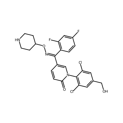 O=c1ccc(C(=NOC2CCNCC2)c2ccc(F)cc2F)cn1-c1c(Cl)cc(CO)cc1Cl